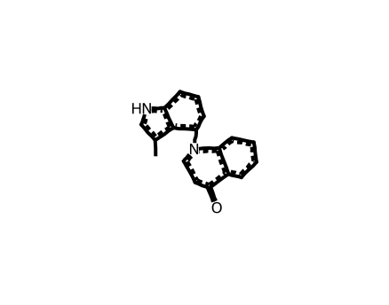 Cc1c[nH]c2cccc(-n3ccc(=O)c4ccccc43)c12